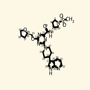 CS(=O)(=O)N1CC[C@@H](NC(=O)c2nc(OC[C@H]3CCCO3)nc(N3CCC(c4c[nH]c5ncccc45)CC3)n2)C1